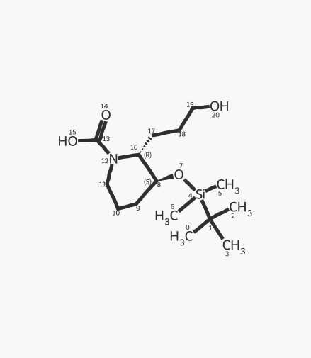 CC(C)(C)[Si](C)(C)O[C@H]1CCCN(C(=O)O)[C@@H]1CCCO